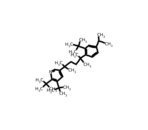 CC(C)c1ccc(C(C)(C)CCC(C)(C)c2cnc(C(C)(C)C)c(C(C)(C)C)c2)c(C(C)(C)C)c1